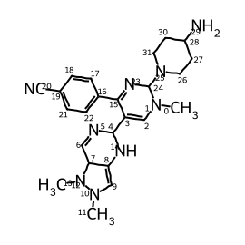 CN1C=C(C2N=CC3C(=CN(C)N3C)N2)C(c2ccc(C#N)cc2)=NC1N1CCC(N)CC1